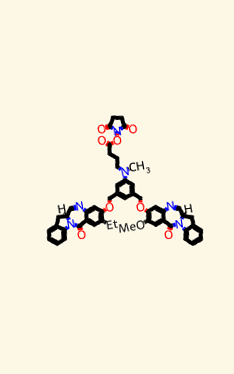 CCc1cc2c(cc1OCc1cc(COc3cc4c(cc3OC)C(=O)N3c5ccccc5C[C@H]3C=N4)cc(N(C)CCCC(=O)ON3C(=O)CCC3=O)c1)N=C[C@@H]1Cc3ccccc3N1C2=O